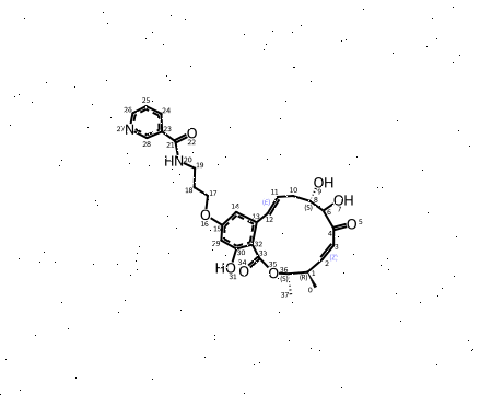 C[C@@H]1/C=C\C(=O)C(O)[C@@H](O)C/C=C/c2cc(OCCCNC(=O)c3cccnc3)cc(O)c2C(=O)O[C@H]1C